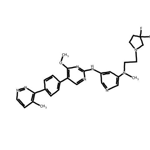 COc1nc(Nc2cncc(N(C)CCN3CCC(F)(F)C3)c2)ncc1-c1ccc(-c2nnccc2C)cc1